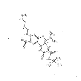 COCCCOc1cc2c(cc1C(=O)O)-c1cc(=O)c(C(=O)OC(C)(C)C)cn1C(C(C)C)C2